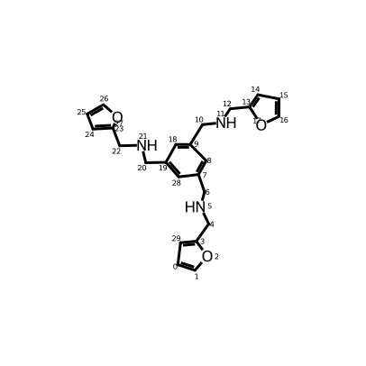 c1coc(CNCc2cc(CNCc3ccco3)cc(CNCc3ccco3)c2)c1